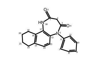 O=C1CC(=O)N(c2cc[c]cc2)c2ccc3c(c2N1)CCCC3